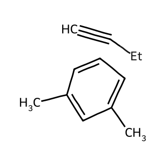 C#CCC.Cc1cccc(C)c1